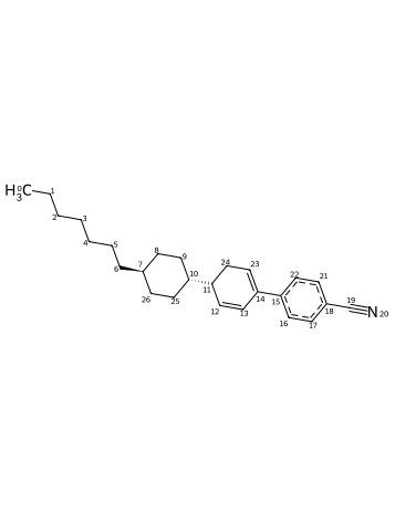 CCCCCCC[C@H]1CC[C@H](C2C=CC(c3ccc(C#N)cc3)=CC2)CC1